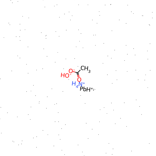 CC(=O)[O-].[NH4+].[OH-].[PbH+]